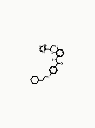 O=C(Nc1cccc2c1OC(c1nnn[nH]1)CO2)c1ccc(OCCC2CCCCC2)cc1